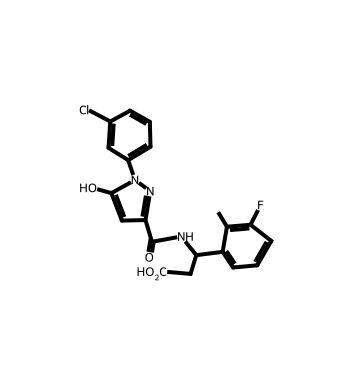 Cc1c(F)cccc1C(CC(=O)O)NC(=O)c1cc(O)n(-c2cccc(Cl)c2)n1